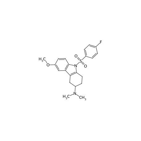 COc1ccc2c(c1)c1c(n2S(=O)(=O)c2ccc(F)cc2)CCC(N(C)C)C1